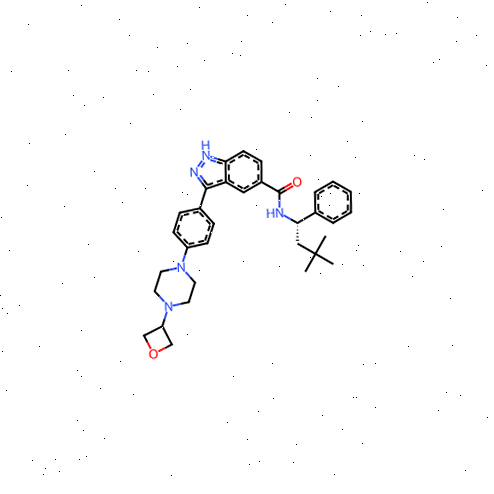 CC(C)(C)C[C@H](NC(=O)c1ccc2[nH]nc(-c3ccc(N4CCN(C5COC5)CC4)cc3)c2c1)c1ccccc1